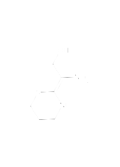 O=[N+]([O-])C(CO)=C1NCCCS1